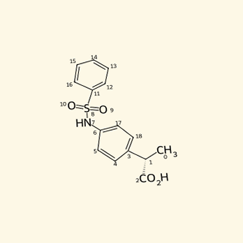 C[C@H](C(=O)O)c1ccc(NS(=O)(=O)c2ccccc2)cc1